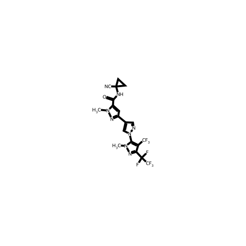 Cn1nc(-c2cnn(-c3c(C(F)(F)F)c(C(F)(F)C(F)(F)F)nn3C)c2)cc1C(=O)NC1(C#N)CC1